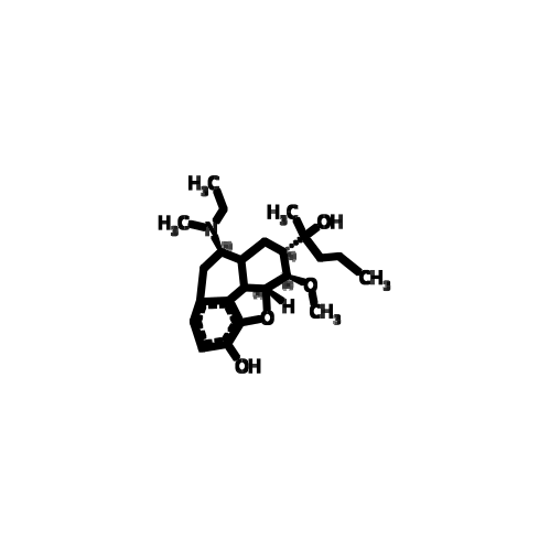 CCCC(C)(O)[C@H]1CC2C3c4c(ccc(O)c4O[C@H]3[C@@H]1OC)C[C@H]2N(C)CC